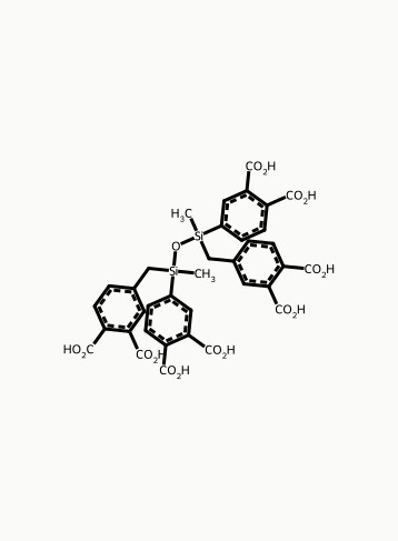 C[Si](Cc1ccc(C(=O)O)c(C(=O)O)c1)(O[Si](C)(Cc1ccc(C(=O)O)c(C(=O)O)c1)c1ccc(C(=O)O)c(C(=O)O)c1)c1ccc(C(=O)O)c(C(=O)O)c1